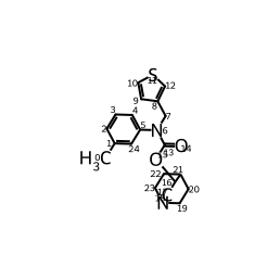 Cc1cccc(N(Cc2ccsc2)C(=O)OC2CN3CCC2CC3)c1